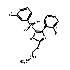 O=C(O)NCCc1nc(-c2ccccc2F)c(S(=O)(=O)c2cccc(Br)c2)s1